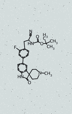 CN1CCC2(CC1)C(=O)Nc1ccc(-c3ccc(CC(C#N)NC(=O)OC(C)(C)C)c(F)c3)cc12